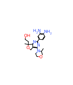 CC1COCCN1c1nc(-c2ccc(N)c(N)c2)nc2c1COC2(C)CCO